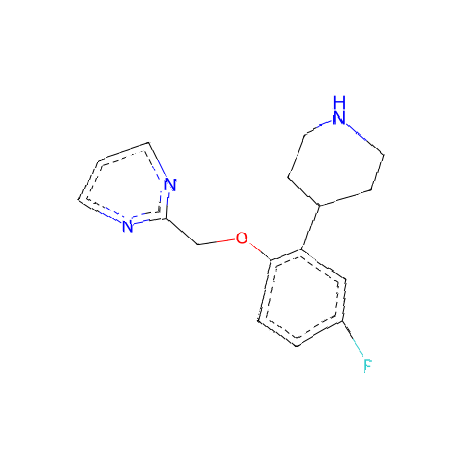 Fc1ccc(OCc2ncccn2)c(C2CCNCC2)c1